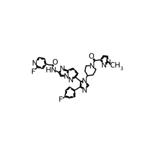 Cn1ccc(C(=O)N2CCC(n3cnc(-c4ccc(F)cc4)c3-c3ccc4nc(NC(=O)c5ccnc(F)c5)cn4n3)CC2)n1